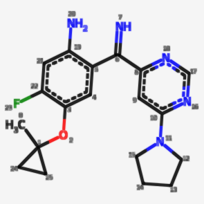 CC1(Oc2cc(C(=N)c3cc(N4CCCC4)ncn3)c(N)cc2F)CC1